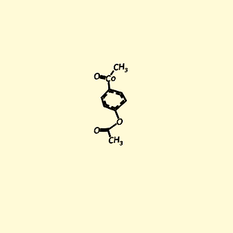 CC(=O)Oc1cc[c]([Co]([CH3])=[O])cc1